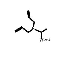 C=CCN(CC=C)C(C)CCCCC